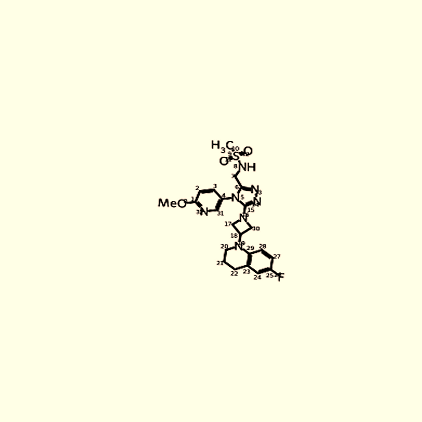 COc1ccc(-n2c(CNS(C)(=O)=O)nnc2N2CC(N3CCCc4cc(F)ccc43)C2)cn1